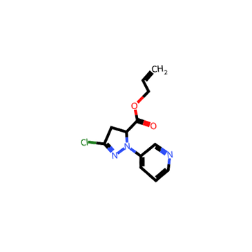 C=CCOC(=O)C1CC(Cl)=NN1c1cccnc1